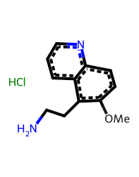 COc1ccc2ncccc2c1CCN.Cl